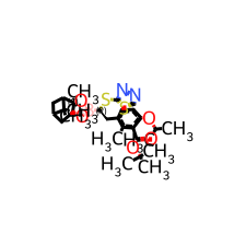 Cc1c(C[C@H](Sc2nncs2)B2OC3CC4CC(C4(C)C)[C@]3(C)O2)ccc(OC(C)C)c1C(=O)OC(C)(C)C